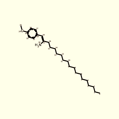 CCCCCCCCCCCCCCCCCC(N)=Cc1ccc(OC)cc1